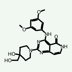 COc1cc(Nc2nc(N3CCC(O)(CO)CC3)nc3cc[nH]c(=O)c23)cc(OC)c1